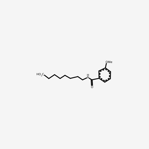 COc1cccc(C(=O)NCCCCCCCC(=O)O)c1